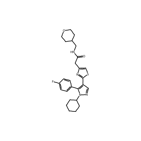 O=C(Cc1csc(-c2cnn(C3CCCCC3)c2-c2ccc(F)cc2)n1)NCC1CCOCC1